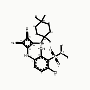 CN(C)S(=O)(=O)c1c(Cl)ccc(Nc2c(NC3(C)CCC(C)(C)CC3)c(=O)c2=O)c1O